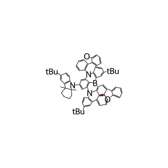 CC(C)(C)c1ccc2c(c1)B1c3cc4c(cc3N(c3ccc(C(C)(C)C)cc3-c3ccccc3)c3cc(N5c6ccc(C(C)(C)C)cc6C6(C)CCCCC56C)cc(c31)N2c1cccc2oc3ccccc3c12)oc1ccccc14